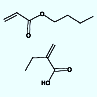 C=C(CC)C(=O)O.C=CC(=O)OCCCC